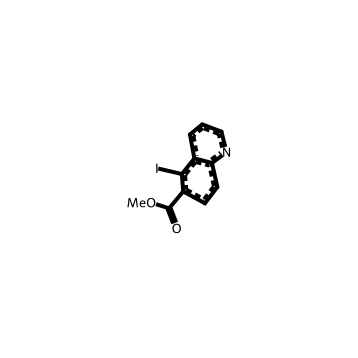 COC(=O)c1ccc2ncccc2c1I